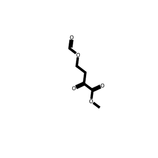 COC(=O)C(=O)CCOC=O